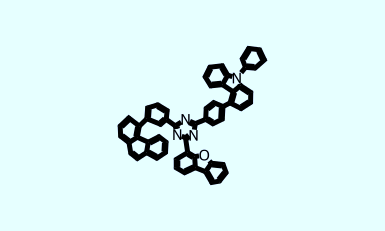 c1ccc(-n2c3ccccc3c3c(-c4ccc(-c5nc(-c6cccc(-c7cccc8ccc9ccccc9c78)c6)nc(-c6cccc7c6oc6ccccc67)n5)cc4)cccc32)cc1